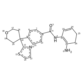 NC1=C(NC(=O)c2ccc(C3(c4nccs4)CCOCC3)cc2)C=CCC1